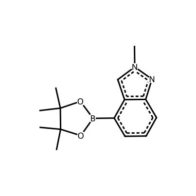 Cn1cc2c(B3OC(C)(C)C(C)(C)O3)cccc2n1